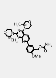 COc1ccc(-c2ccc3c(N4CCOC[C@@H]4C)nc(N4CCOC[C@@H]4C)nc3n2)cc1COC(N)=O